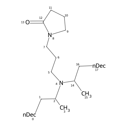 CCCCCCCCCCCC(C)N(CCCN1CCCC1=O)C(C)CCCCCCCCCCC